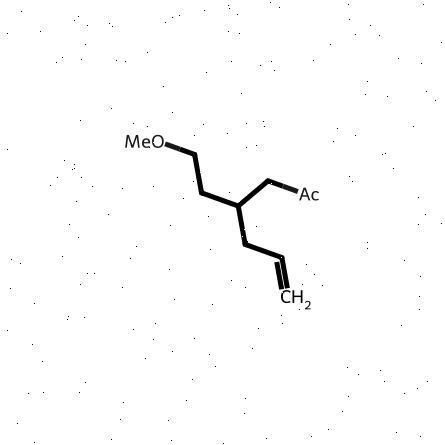 C=CCC(CCOC)CC(C)=O